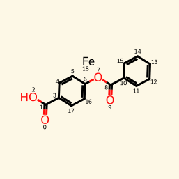 O=C(O)c1ccc(OC(=O)c2ccccc2)cc1.[Fe]